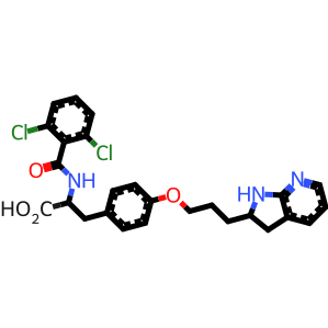 O=C(NC(Cc1ccc(OCCCC2Cc3cccnc3N2)cc1)C(=O)O)c1c(Cl)cccc1Cl